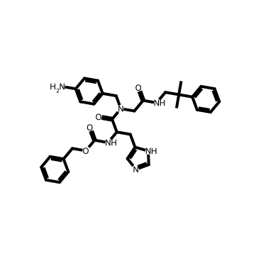 CC(C)(CNC(=O)CN(Cc1ccc(N)cc1)C(=O)C(Cc1cnc[nH]1)NC(=O)OCc1ccccc1)c1ccccc1